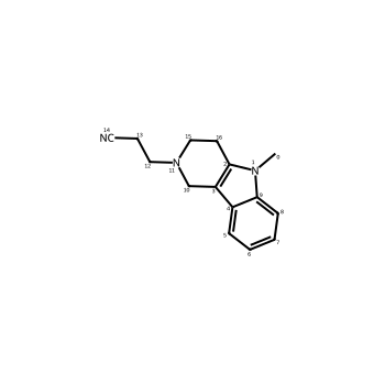 Cn1c2c(c3ccccc31)CN(CCC#N)CC2